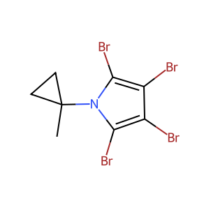 CC1(n2c(Br)c(Br)c(Br)c2Br)CC1